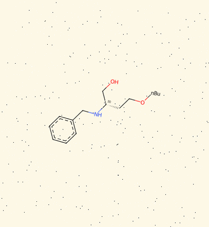 CCCCOCC[C@@H](CO)NCc1ccccc1